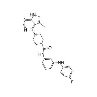 Cc1c[nH]c2ncnc(N3CCC(C(=O)Nc4cccc(Nc5ccc(F)cc5)c4)CC3)c12